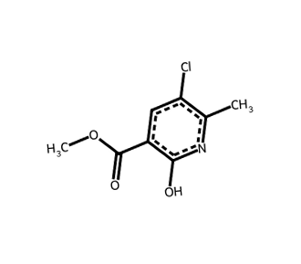 COC(=O)c1cc(Cl)c(C)nc1O